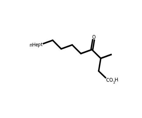 CCCCCCCCCCCC(=O)C(C)CC(=O)O